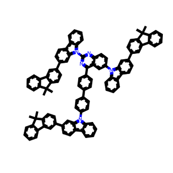 CC1(C)c2ccccc2-c2cc(-c3ccc4c5ccccc5n(-c5ccc(-c6ccc(-c7nc(-n8c9ccccc9c9ccc(-c%10ccc%11c(c%10)-c%10ccccc%10C%11(C)C)cc98)nc8ccc(-n9c%10ccccc%10c%10ccc(-c%11ccc%12c(c%11)-c%11ccccc%11C%12(C)C)cc%109)cc78)cc6)cc5)c4c3)ccc21